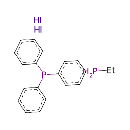 CCP.I.I.c1ccc(P(c2ccccc2)c2ccccc2)cc1